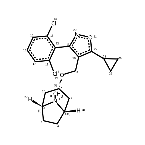 CN1[C@@H]2CC[C@H]1C[C@@H](OCc1c(-c3c(Cl)cccc3Cl)noc1C1CC1)C2